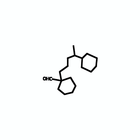 CC(CCCC1(C=O)CCCCC1)C1CCCCC1